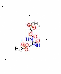 CS(=O)(=O)CCOC(=O)N[C@H]1C(=O)N[C@H]1COS(C)(=O)=O